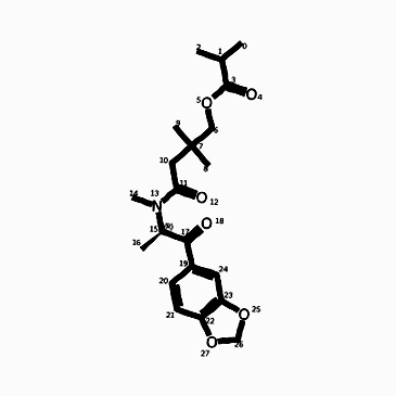 CC(C)C(=O)OCC(C)(C)CC(=O)N(C)[C@H](C)C(=O)c1ccc2c(c1)OCO2